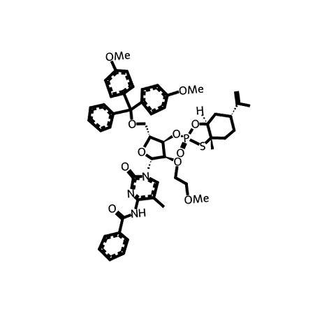 C=C(C)[C@@H]1CC[C@]2(C)S[P@](=O)(O[C@H]3[C@@H](OCCOC)[C@H](n4cc(C)c(NC(=O)c5ccccc5)nc4=O)O[C@@H]3COC(c3ccccc3)(c3ccc(OC)cc3)c3ccc(OC)cc3)O[C@H]2C1